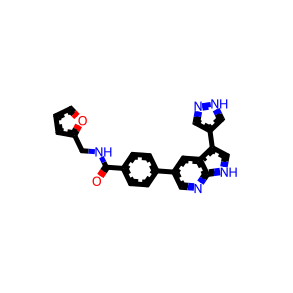 O=C(NCc1ccco1)c1ccc(-c2cnc3[nH]cc(-c4cn[nH]c4)c3c2)cc1